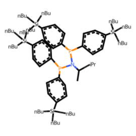 CCCC[Si](CCCC)(CCCC)c1ccc(P(c2ccc([Si](CCCC)(CCCC)CCCC)cc2)N(C(C)C(C)C)P(c2ccc([Si](CCCC)(CCCC)CCCC)cc2)c2ccc([Si](CCCC)(CCCC)CCCC)cc2)cc1